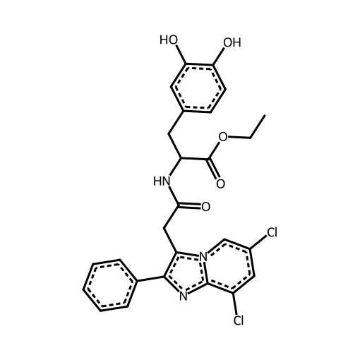 CCOC(=O)C(Cc1ccc(O)c(O)c1)NC(=O)Cc1c(-c2ccccc2)nc2c(Cl)cc(Cl)cn12